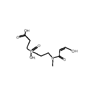 CN(CCP(=O)(O)CCC(=O)O)C(=O)/C=C\O